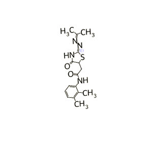 CC(C)=N/N=C1\NC(=O)C(CC(=O)Nc2cccc(C)c2C)S1